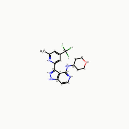 Cc1cc(C(F)(F)F)cc(-c2n[nH]c3ccnc(NC4CCOCC4)c23)n1